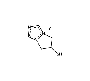 SC1Cn2cnc[n+]2C1.[Cl-]